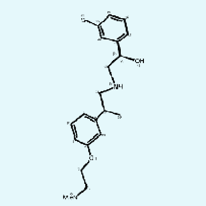 CNCCOc1cccc(C(C)CNC[C@H](O)c2cccc(Cl)c2)c1